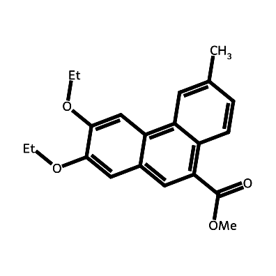 CCOc1cc2cc(C(=O)OC)c3ccc(C)cc3c2cc1OCC